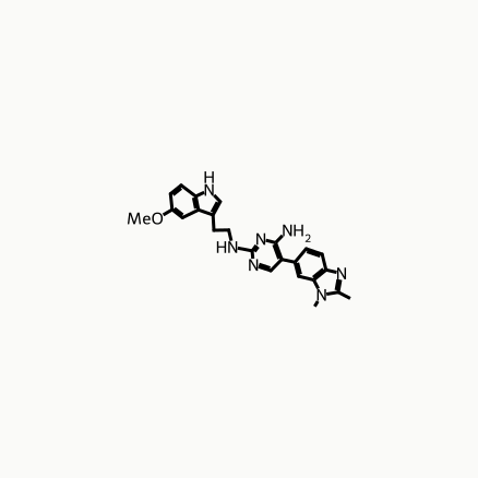 COc1ccc2[nH]cc(CCNc3ncc(-c4ccc5nc(C)n(C)c5c4)c(N)n3)c2c1